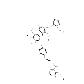 CCc1cccc(CC)c1N=C=O.Cc1cc(C)c(N=C=O)c(C)c1.Cc1cc(Cl)ccc1N=C=O.Cc1ccc(Cl)cc1N=C=O.Cc1cccc(C(C)C)c1N=C=O